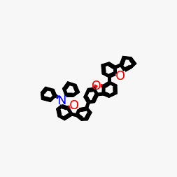 c1ccc(N(c2ccccc2)c2cccc3c2oc2c(-c4ccc5oc6c(-c7cccc8c7oc7ccccc78)cccc6c5c4)cccc23)cc1